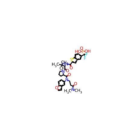 CN(C)C(=O)CCN(C(=O)C1CCCN1C(=O)C(NC(=O)c1cc2cc(C(F)(F)P(=O)(O)O)ccc2s1)C(C)(C)C)c1ccc2occc2c1